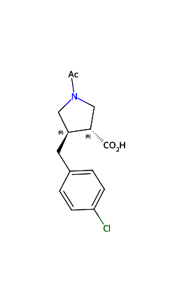 CC(=O)N1C[C@H](Cc2ccc(Cl)cc2)[C@@H](C(=O)O)C1